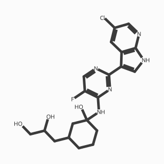 OCC(O)CC1CCCC(O)(Nc2nc(-c3c[nH]c4ncc(Cl)cc34)ncc2F)C1